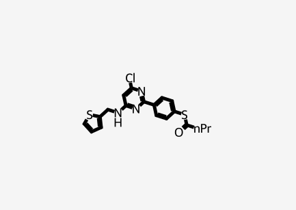 CCCC(=O)Sc1ccc(-c2nc(Cl)cc(NCc3cccs3)n2)cc1